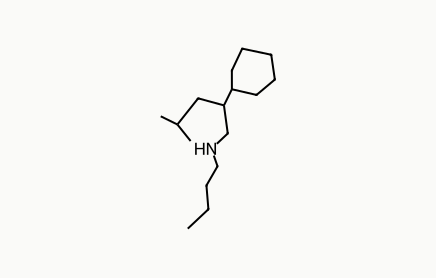 CCCCNCC(CC(C)C)C1CCCCC1